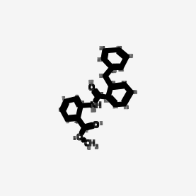 COC(=O)c1ccccc1NC(=O)c1ccccc1Cc1ccccc1